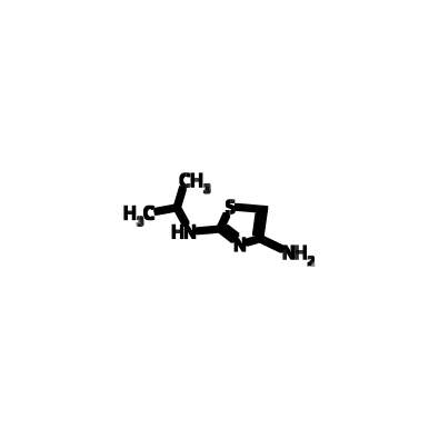 CC(C)Nc1nc(N)cs1